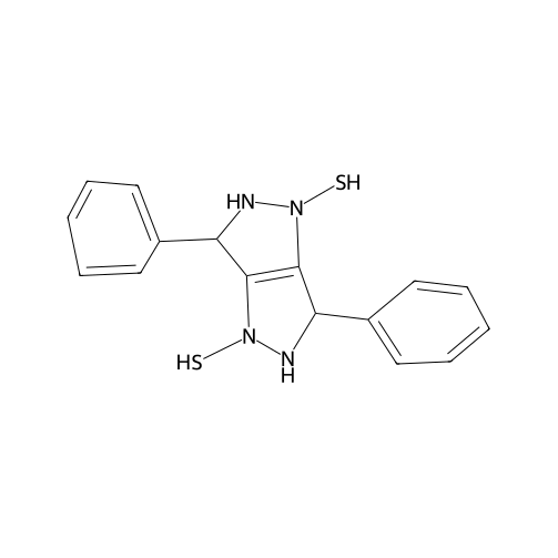 SN1NC(c2ccccc2)C2=C1C(c1ccccc1)NN2S